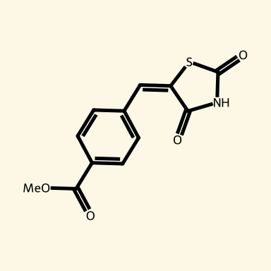 COC(=O)c1ccc(C=C2SC(=O)NC2=O)cc1